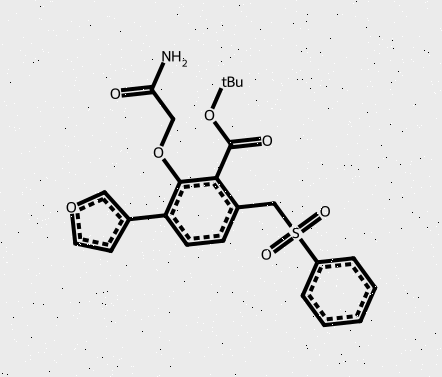 CC(C)(C)OC(=O)c1c(CS(=O)(=O)c2ccccc2)ccc(-c2ccoc2)c1OCC(N)=O